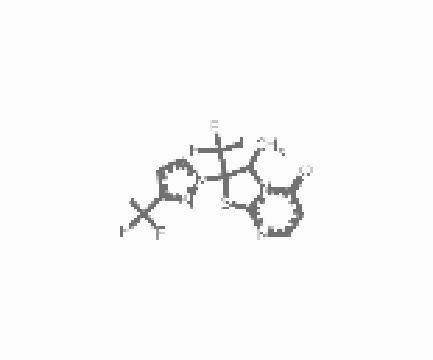 CC1n2c(nccc2=O)SC1(n1ccc(C(F)(F)F)n1)C(F)(F)F